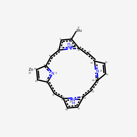 CCC(C)c1cc2cc3nc(cc4ccc(cc5nc(cc1[nH]2)C=C5)[nH]4)C=C3.[Zn]